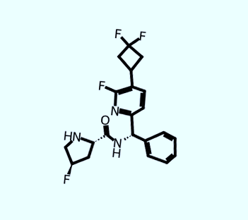 O=C(N[C@@H](c1ccccc1)c1ccc(C2CC(F)(F)C2)c(F)n1)[C@@H]1C[C@@H](F)CN1